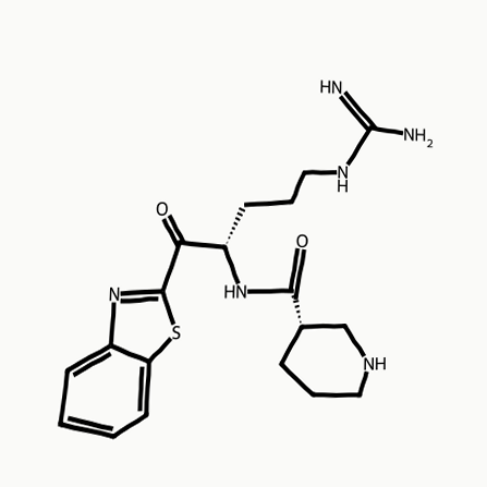 N=C(N)NCCC[C@H](NC(=O)[C@H]1CCCNC1)C(=O)c1nc2ccccc2s1